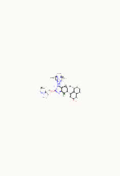 C#Cc1c(F)ccc2cc(O)cc(-c3ccc4c(N5C[C@H]6CC[C@@H](C5)N6)nc(OC[C@@]56CCCN5C[C@H](F)C6)nc4c3F)c12